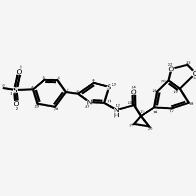 CS(=O)(=O)c1ccc(-c2csc(NC(=O)C3(c4ccc5c(c4)OCO5)CC3)n2)cc1